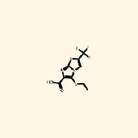 CCSc1c(C(=O)O)nc2sc(C(F)(F)F)cn12